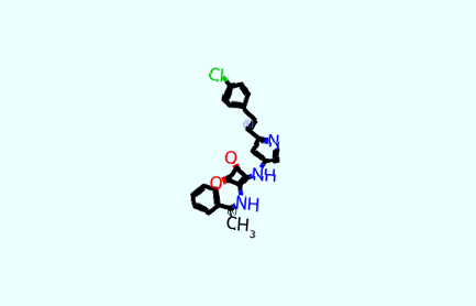 C[C@@H](Nc1c(Nc2ccnc(/C=C/c3ccc(Cl)cc3)c2)c(=O)c1=O)c1ccccc1